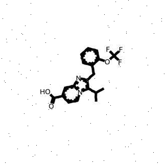 CC(C)c1c(Cc2ccccc2OC(F)(F)F)nc2cc(C(=O)O)ccn12